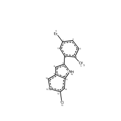 CCc1ccc(C(F)(F)F)c(-c2cc3cnc(Cl)cc3[nH]2)c1